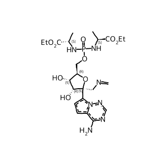 C=NC[C@@]1(c2ccc3c(N)ncnn23)O[C@H](COP(=O)(N[C@@H](C)C(=O)OCC)N[C@@H](C)C(=O)OCC)[C@@H](O)[C@H]1O